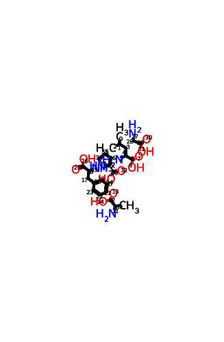 CC(C)CC(N)C(=O)O.CC(N)C(=O)O.NC(Cc1ccccc1)C(=O)O.NCC(=O)O.O=C(O)[C@@H]1CCCN1